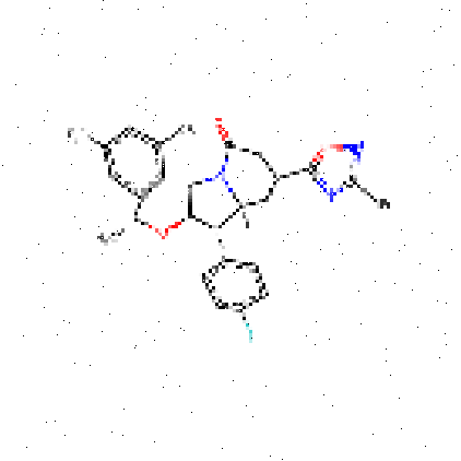 CC(C)c1noc(C2CC(=O)N3C[C@H](O[C@H](C)c4cc(C(F)(F)F)cc(C(F)(F)F)c4)[C@@H](c4ccc(F)cc4)[C@@H]3C2)n1